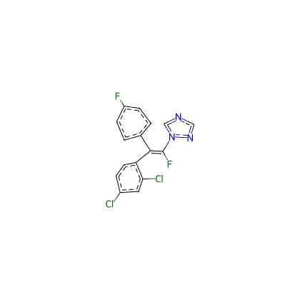 FC(=C(c1ccc(F)cc1)c1ccc(Cl)cc1Cl)n1cncn1